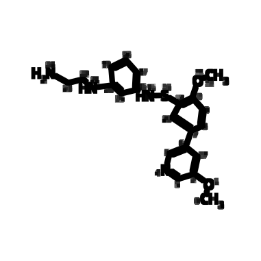 COc1cncc(-c2ccc(OC)c(SNc3cccc(NCCN)c3)c2)c1